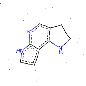 c1cc2c3c(cnc2[nH]1)CCN3